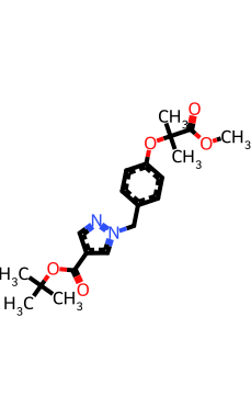 COC(=O)C(C)(C)Oc1ccc(Cn2cc(C(=O)OC(C)(C)C)cn2)cc1